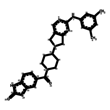 Cc1cc(C)cc(Nc2ncc3c(n2)CN(C2CCN(C(=O)c4ccc5[nH]c(=O)sc5c4)CC2)C3)c1